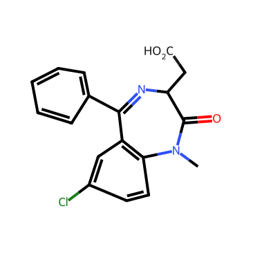 CN1C(=O)C(CC(=O)O)N=C(c2ccccc2)c2cc(Cl)ccc21